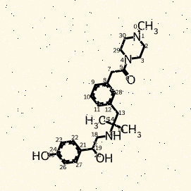 CN1CCN(C(=O)Cc2cccc(CC(C)(C)NCC(O)c3ccc(O)cc3)c2)CC1